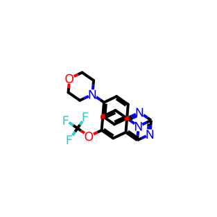 FC(F)(F)Oc1ccc2nc3nc(c2c1)n3-c1ccc(N2CCOCC2)cc1